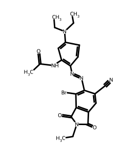 CCN1C(=O)c2cc(C#N)c(/N=N/c3ccc(N(CC)CC)cc3NC(C)=O)c(Br)c2C1=O